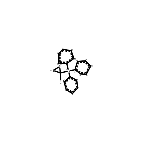 CC1([Si](c2ccccc2)(c2ccccc2)c2ccccc2)SS1